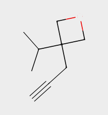 C#CCC1(C(C)C)COC1